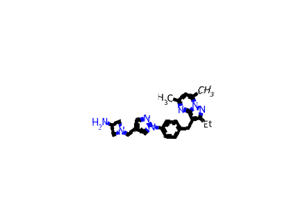 CCc1nn2c(C)cc(C)nc2c1Cc1ccc(-n2cc(CN3CC(N)C3)cn2)cc1